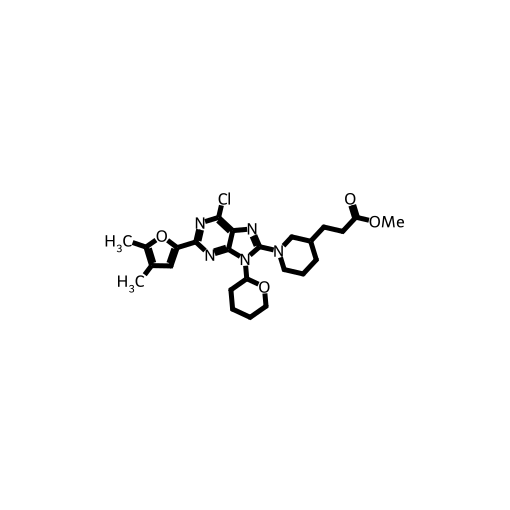 COC(=O)CCC1CCCN(c2nc3c(Cl)nc(-c4cc(C)c(C)o4)nc3n2C2CCCCO2)C1